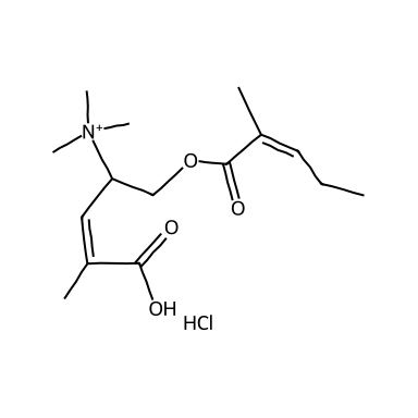 CCC=C(C)C(=O)OCC(C=C(C)C(=O)O)[N+](C)(C)C.Cl